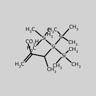 C=C(C(=O)O)C(C)[Si]([Si](C)(C)C)([Si](C)(C)C)[Si](C)(C)C